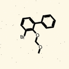 COCOc1c(Br)cccc1-c1ccccc1